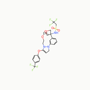 COCCN1C(Oc2ccc(C(F)(F)F)cc2)=CCN1c1cccc(C2(NS(=O)(=O)CC(F)(F)F)COC2)c1